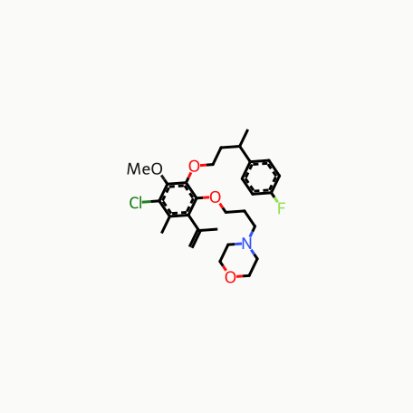 C=C(C)c1c(C)c(Cl)c(OC)c(OCCC(C)c2ccc(F)cc2)c1OCCCN1CCOCC1